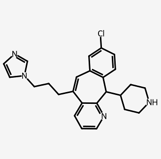 Clc1ccc2c(c1)C=C(CCCn1ccnc1)c1cccnc1C2C1CCNCC1